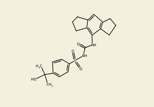 CC(C)(O)c1ccc(S(=O)(=O)NC(=O)Nc2c3c(cc4c2CCC4)CCC3)cc1